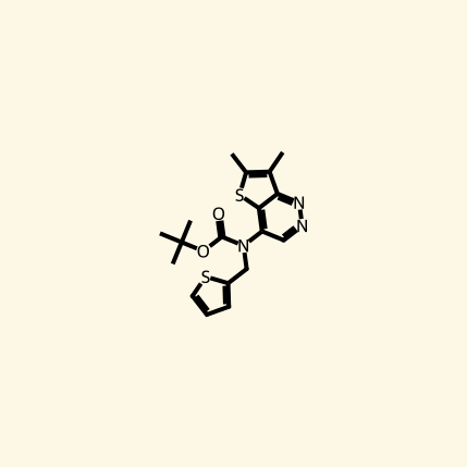 Cc1sc2c(N(Cc3cccs3)C(=O)OC(C)(C)C)cnnc2c1C